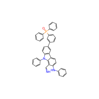 N=Cc1c(Nc2ccccc2)ccc2c3cc(-c4cccc(P(=O)(c5ccccc5)c5ccccc5)c4)ccc3n(-c3ccccc3)c12